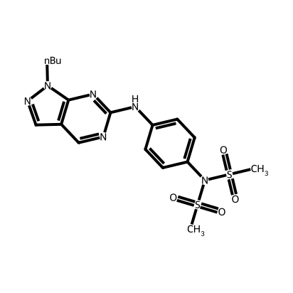 CCCCn1ncc2cnc(Nc3ccc(N(S(C)(=O)=O)S(C)(=O)=O)cc3)nc21